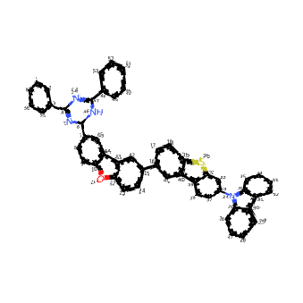 c1ccc(C2=NC(c3ccc4oc5ccc(-c6ccc7sc8cc(-n9c%10ccccc%10c%10ccccc%109)ccc8c7c6)cc5c4c3)NC(c3ccccc3)=N2)cc1